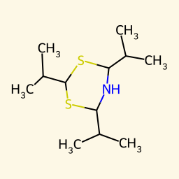 CC(C)C1NC(C(C)C)SC(C(C)C)S1